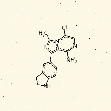 Cc1nc(-c2ccc3c(c2)CCN3)c2c(N)ncc(Cl)n12